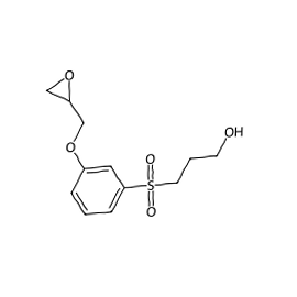 O=S(=O)(CCCO)c1cccc(OCC2CO2)c1